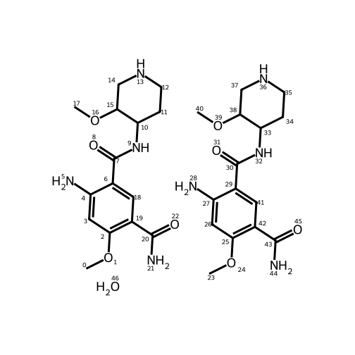 COc1cc(N)c(C(=O)NC2CCNCC2OC)cc1C(N)=O.COc1cc(N)c(C(=O)NC2CCNCC2OC)cc1C(N)=O.O